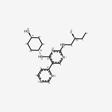 CC[C@H](F)CNc1ncc(-c2ccncn2)c(N[C@H]2CC[C@H](O)CC2)n1